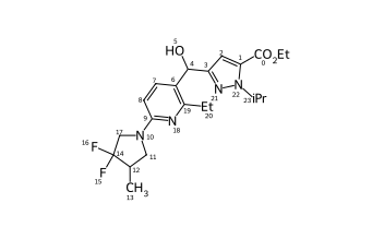 CCOC(=O)c1cc(C(O)c2ccc(N3CC(C)C(F)(F)C3)nc2CC)nn1C(C)C